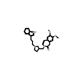 COc1cc2c(cc1OC)CC(=O)N(CC1CCN(CCCc3c[nH]c4ccccc34)C1)C=C2